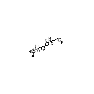 CC(C(=O)Nc1cc(C2CC2)[nH]n1)c1cccc(-c2ccc(NC(=O)/C=C/CN3CCC(F)C3)c(F)c2)c1